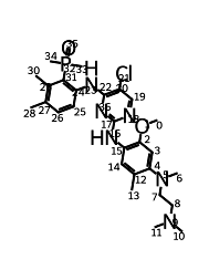 COc1cc(N(C)CCN(C)C)c(C)cc1Nc1ncc(Cl)c(Nc2ccc(C)c(C)c2P(C)(C)=O)n1